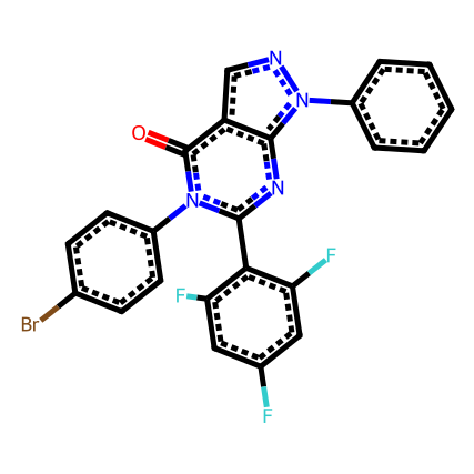 O=c1c2cnn(-c3ccccc3)c2nc(-c2c(F)cc(F)cc2F)n1-c1ccc(Br)cc1